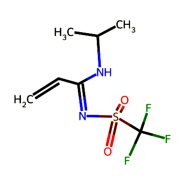 C=CC(=NS(=O)(=O)C(F)(F)F)NC(C)C